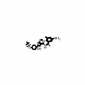 Cc1cc(N)cc([C@@H](C)Nc2ncnc3sc(C4(O)CCC(O[Si](C)(C)C(C)(C)C)CC4)cc23)c1